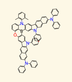 Cc1cccc(C)c1N1c2cc3c4cc5ccc(N(c6ccccc6)c6ccccc6)cc5cc4n(-c4ccccc4)c3cc2B2c3cc4c(cc3Oc3cccc1c32)c1cc2ccc(N(c3ccccc3)c3ccccc3)cc2cc1n4-c1ccccc1